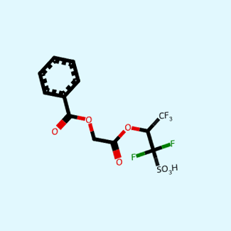 O=C(COC(=O)c1ccccc1)OC(C(F)(F)F)C(F)(F)S(=O)(=O)O